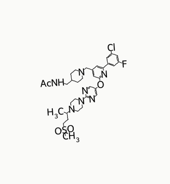 CC(=O)NCC1CCN(Cc2cc(Oc3cnc(N4CCN(C(C)CCS(C)(=O)=O)CC4)nc3)nc(-c3cc(F)cc(Cl)c3)c2)CC1